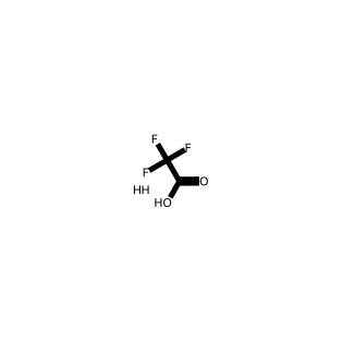 O=C(O)C(F)(F)F.[HH]